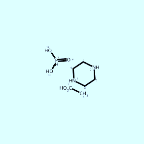 C1CNCCN1.CC(=O)O.O=[PH](O)O